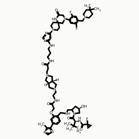 Cc1ncsc1-c1ccc(CNCC2C[C@@H](O)CN2C(=O)[C@@H](NC(=O)C2(F)CC2)C(C)(C)C)c(OCC(=O)NCCN2C[C@@H]3CN(CCC(=O)NCCCNc4cc(N5CCC6(CC5)CN(c5cc(F)c(CN7CCC(C)(C)CC7)cc5F)CC(=O)N6)ncn4)C[C@@H]3C2)c1